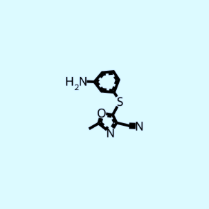 Cc1nc(C#N)c(Sc2cccc(N)c2)o1